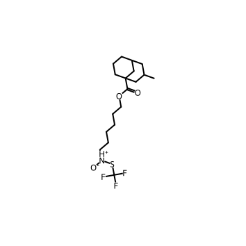 CC1CC2CCCC(C(=O)OCCCCCC[NH+]([O-])SC(F)(F)F)(C1)C2